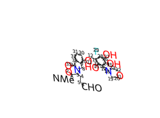 CNC(=O)C(CCC=O)N1Cc2c(OCc3c(O)c(CN4CCOCC4)c(O)c(O)c3F)cccc2C1=O